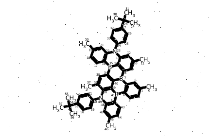 Cc1ccc2c(c1)B1c3cc(C)cc4c3B(c3ccc(C)cc3N4c3ccc(C(C)(C)C)cc3)c3cc(C)c4c(c31)B2c1ccc(C)cc1N4c1ccc(C(C)(C)C)cc1